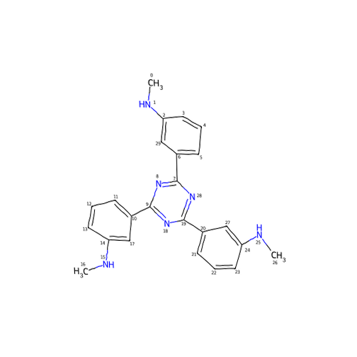 CNc1cccc(-c2nc(-c3cccc(NC)c3)nc(-c3cccc(NC)c3)n2)c1